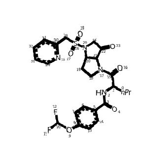 CCCC(NC(=O)c1ccc(OC(F)F)cc1)C(=O)N1CCC2C1C(=O)CN2S(=O)(=O)Cc1ccccn1